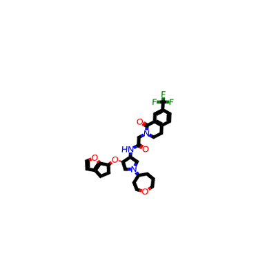 O=C(CN1CCc2ccc(C(F)(F)F)cc2C1=O)NC1CN(C2CCCOCC2)C[C@@H]1OC1CCc2ccoc21